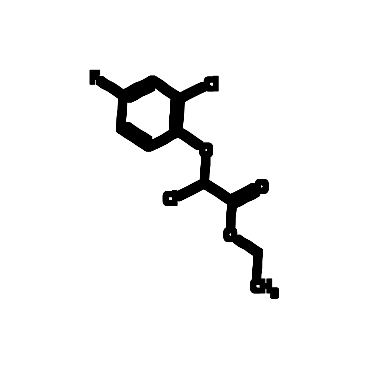 CCOC(=O)C(Cl)Oc1ccc(F)cc1Cl